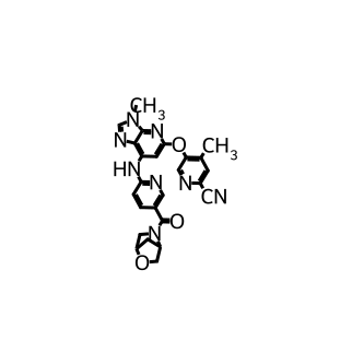 Cc1cc(C#N)ncc1Oc1cc(Nc2ccc(C(=O)N3CC4CC3CO4)cn2)c2ncn(C)c2n1